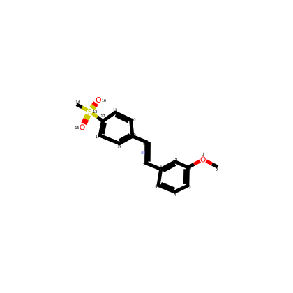 COc1cccc(/C=C/c2ccc(S(C)(=O)=O)cc2)c1